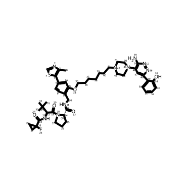 Cc1ncsc1-c1ccc(CNC(=O)[C@@H]2CCCN2C(=O)C(NC(=O)C2(F)CC2)C(C)(C)C)c(OCCCCCCCN2CCN(c3cc(-c4ccccc4O)nnc3N)CC2)c1